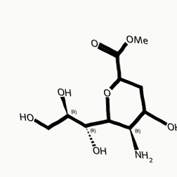 COC(=O)C1CC(O)[C@@H](N)C([C@H](O)[C@H](O)CO)O1